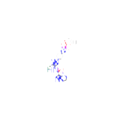 CC(C)(C)OC(=O)N1CC2(CCC(n3cc(NC(=O)c4cnn5cccnc45)c(C(F)F)n3)CC2)C1